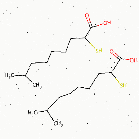 CC(C)CCCCCC(S)C(=O)O.CC(C)CCCCCC(S)C(=O)O